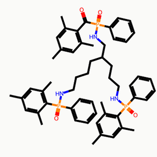 Cc1cc(C)c(C(=O)P(=O)(NCC(CCCCNP(=O)(c2ccccc2)c2c(C)cc(C)cc2C)CCCNP(=O)(c2ccccc2)c2c(C)cc(C)cc2C)c2ccccc2)c(C)c1